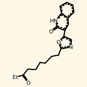 CCC(=O)CCCCCCc1ncc(-c2cc3ccccc3[nH]c2=O)o1